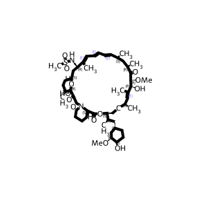 CO[C@@H]1C[C@H](C[C@@H](C)[C@@H]2CC[C@H](C)/C=C(\C)[C@@H](O)[C@@H](OC)C(=O)[C@H](C)C[C@H](C)/C=C/C=C/C=C(\C)[C@H](NS(C)(=O)=O)C[C@@H]3CC[C@@H](C)[C@@](O)(O3)C(=O)C(=O)N3CCCC[C@H]3C(=O)O2)CC[C@H]1O